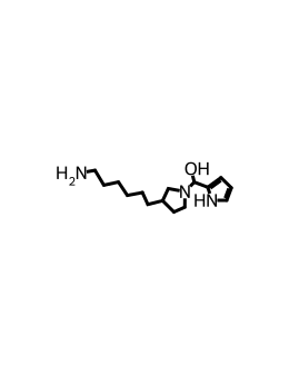 NCCCCCCC1CCN(C(O)c2ccc[nH]2)C1